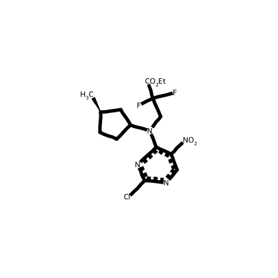 CCOC(=O)C(F)(F)CN(c1nc(Cl)ncc1[N+](=O)[O-])C1CC[C@@H](C)C1